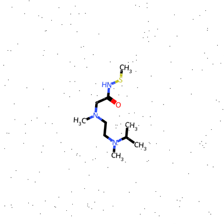 CSNC(=O)CN(C)CCN(C)C(C)C